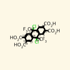 O=C(O)c1cc2c(cc1C(=O)O)C(Cl)(C(F)(F)F)c1cc(C(=O)O)c(C(=O)O)cc1C2(Cl)C(F)(F)F